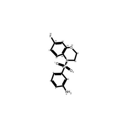 Nc1cccc(S(=O)(=O)N2CCOc3cc(F)ccc32)c1